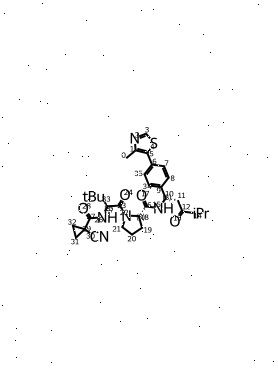 Cc1ncsc1-c1ccc([C@H](CC(=O)C(C)C)NC(=O)[C@@H]2CCCN2C(=O)[C@@H](NC(=O)C2(C#N)CC2)C(C)(C)C)cc1